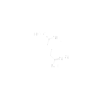 [N-]=[N+]=C(N)CCC[C@H](N)C(=O)O